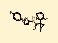 CC1CC1(C(=O)Nc1ccn(-c2ccc(F)cc2)n1)c1ncccc1F